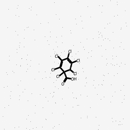 O=C(O)C1(Cl)C(Cl)=C(Cl)C(Cl)=C(Cl)C1Cl